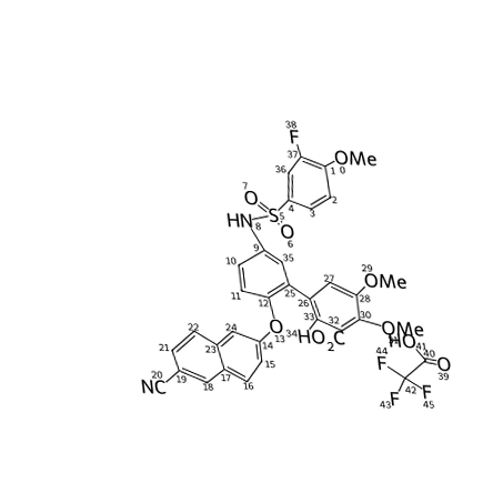 COc1ccc(S(=O)(=O)Nc2ccc(Oc3ccc4cc(C#N)ccc4c3)c(-c3cc(OC)c(OC)cc3C(=O)O)c2)cc1F.O=C(O)C(F)(F)F